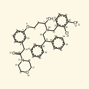 CC(CCOc1cccc(CC(=O)N2CCOCC2)c1)N(Cc1cccc(C(F)(F)F)c1Cl)CC(c1ccccc1)c1ccccc1